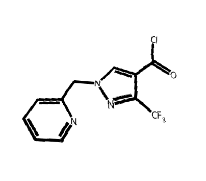 O=C(Cl)c1cn(Cc2ccccn2)nc1C(F)(F)F